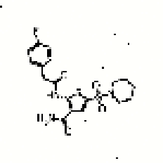 NC(=O)c1cc(S(=O)(=O)N2CCCCC2)sc1NC(=O)Cc1ccc(F)cc1